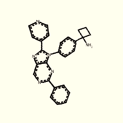 NC1(c2ccc(-n3c(-c4ccncc4)nc4cnc(-c5ccccc5)nc43)cc2)CCC1